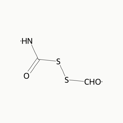 [NH]C(=O)SS[C]=O